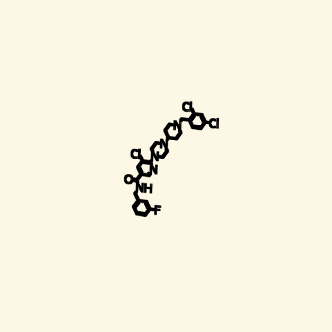 O=C(NCc1cccc(F)c1)c1cnc(N2CCN(C3CCN(Cc4ccc(Cl)cc4Cl)CC3)CC2)c(Cl)c1